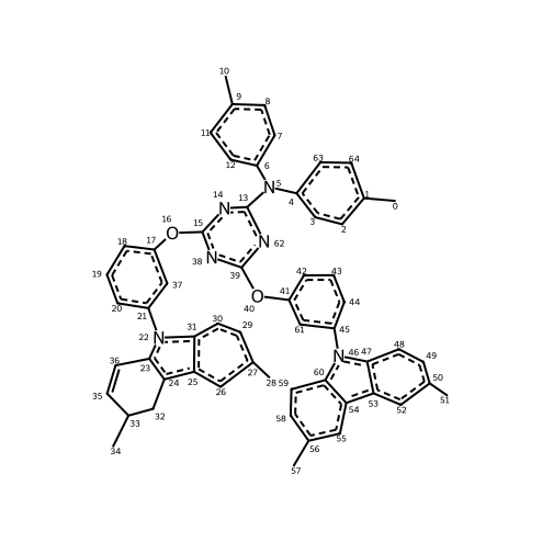 Cc1ccc(N(c2ccc(C)cc2)c2nc(Oc3cccc(-n4c5c(c6cc(C)ccc64)CC(C)C=C5)c3)nc(Oc3cccc(-n4c5ccc(C)cc5c5cc(C)ccc54)c3)n2)cc1